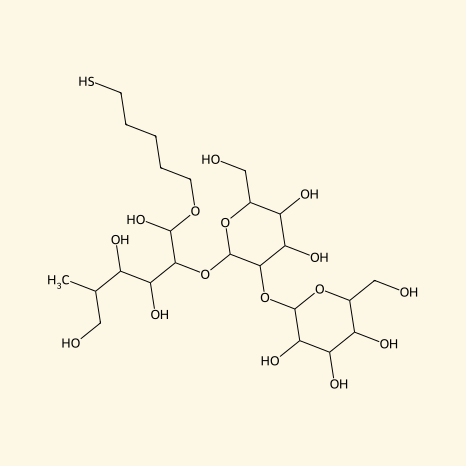 CC(CO)C(O)C(O)C(OC1OC(CO)C(O)C(O)C1OC1OC(CO)C(O)C(O)C1O)C(O)OCCCCCS